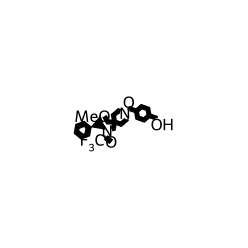 COCC1(CN(C(=O)C(F)(F)F)[C@@H]2C[C@H]2c2ccccc2)CCN(C(=O)C2CCC(CO)CC2)CC1